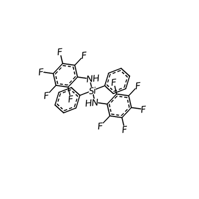 Fc1c(F)c(F)c(N[Si](Nc2c(F)c(F)c(F)c(F)c2F)(c2ccccc2)c2ccccc2)c(F)c1F